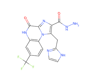 NNC(=O)c1nc2c(=O)[nH]c3cc(C(F)(F)F)ccc3n2c1Cc1ncc[nH]1